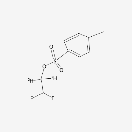 [2H]C([2H])(OS(=O)(=O)c1ccc(C)cc1)C(F)F